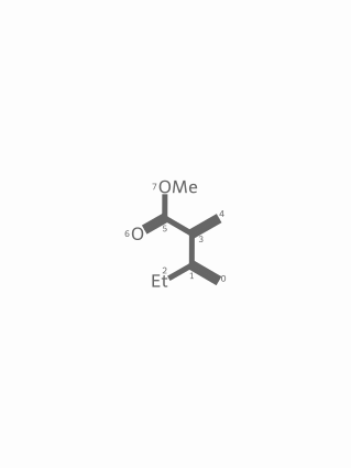 C=C(CC)C(=C)C(=O)OC